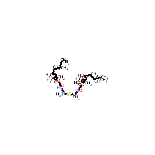 Cc1c(C)c2c(c(C)c1OC(=O)CCC(=O)NCCCN(C)CCSSCCN(C)CCCNC(=O)CCC(=O)Oc1c(C)c(C)c3c(c1C)CCC(C)(CCCC(C)CCCC(C)CCCC(C)C)O3)CCC(C)(CCCC(C)CCCC(C)CCCC(C)C)O2